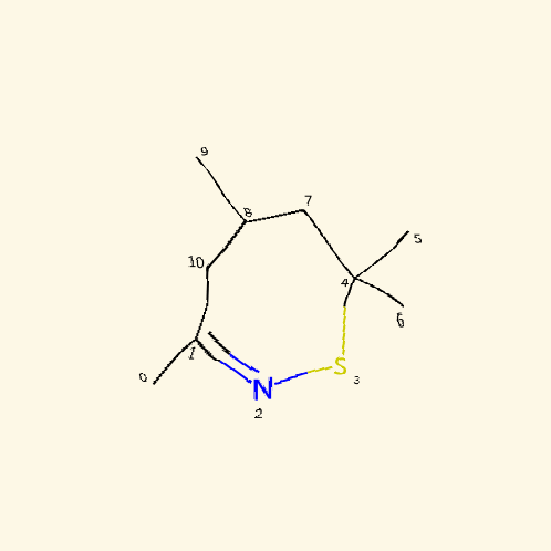 CC1=NSC(C)(C)CC(C)C1